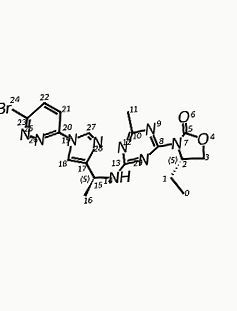 CC[C@H]1COC(=O)N1c1nc(C)nc(N[C@@H](C)c2cn(-c3ccc(Br)nn3)cn2)n1